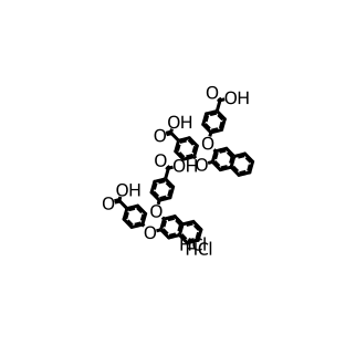 Cl.Cl.O=C(O)c1ccc(Oc2cc3ccccc3cc2Oc2ccc(C(=O)O)cc2)cc1.O=C(O)c1ccc(Oc2cc3ccccc3cc2Oc2ccc(C(=O)O)cc2)cc1